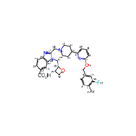 CC(=O)c1ccc(COc2cccc(C3CCN(Cc4nc5ccc(C(=O)O)cc5n4CC4CCO4)CC3)n2)cc1F